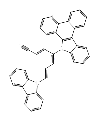 N#C/C=C/C(=C\C=C\n1c2ccccc2c2ccccc21)n1c2ccccc2c2c3ccccc3c3ccccc3c21